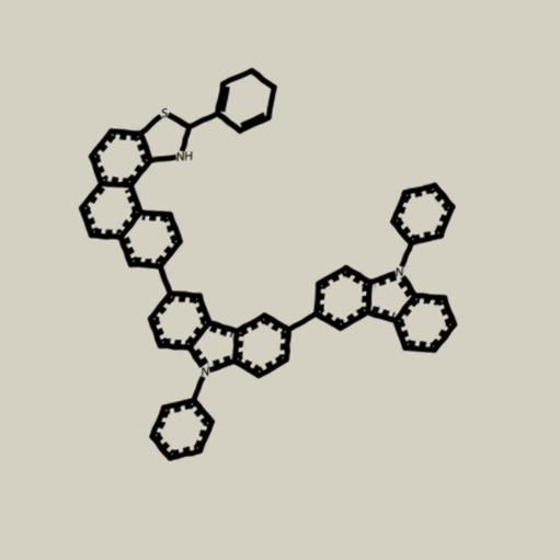 C1=CC(C2Nc3c(ccc4ccc5cc(-c6ccc7c(c6)c6cc(-c8ccc9c(c8)c8ccccc8n9-c8ccccc8)ccc6n7-c6ccccc6)ccc5c34)S2)=CCC1